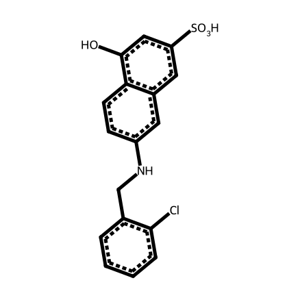 O=S(=O)(O)c1cc(O)c2ccc(NCc3ccccc3Cl)cc2c1